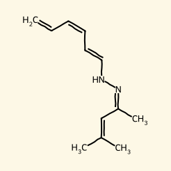 C=C/C=C\C=C\N/N=C(/C)C=C(C)C